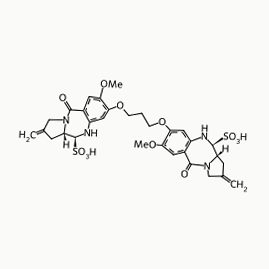 C=C1C[C@H]2[C@H](S(=O)(=O)O)Nc3cc(OCCCOc4cc5c(cc4OC)C(=O)N4CC(=C)C[C@H]4[C@H](S(=O)(=O)O)N5)c(OC)cc3C(=O)N2C1